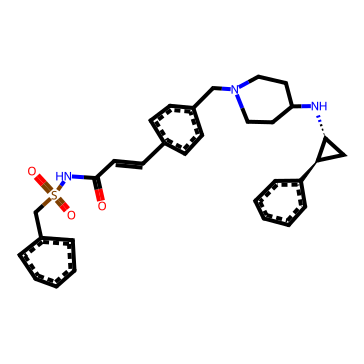 O=C(C=Cc1ccc(CN2CCC(N[C@@H]3C[C@H]3c3ccccc3)CC2)cc1)NS(=O)(=O)Cc1ccccc1